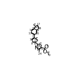 CCOC(=O)c1sc(-c2ccc(-c3ccc4sccc4c3)s2)nc1C